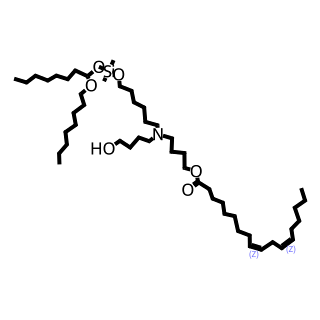 CCCCC/C=C\C/C=C\CCCCCCCC(=O)OCCCCN(CCCCO)CCCCCCO[Si](C)(C)OC(CCCCCCC)OCCCCCCCC